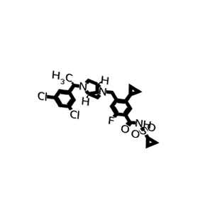 C[C@H](c1cc(Cl)cc(Cl)c1)N1C[C@@H]2C[C@H]1CN2Cc1cc(F)c(C(=O)NS(=O)(=O)C2CC2)cc1C1CC1